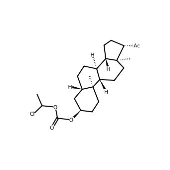 CC(=O)[C@H]1CC[C@H]2[C@@H]3CC[C@H]4C[C@H](OC(=O)OC(C)Cl)CC[C@]4(C)[C@H]3CC[C@]12C